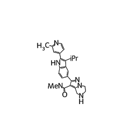 CNC(=O)c1c(-c2ccc3[nH]c(-c4ccnc(C)c4)c(C(C)C)c3c2)nn2c1CNCC2